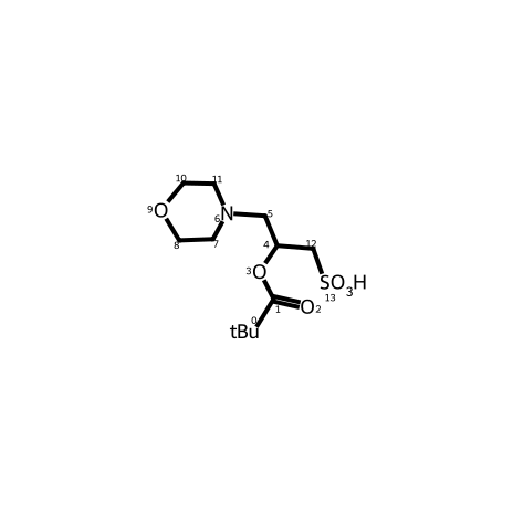 CC(C)(C)C(=O)OC(CN1CCOCC1)CS(=O)(=O)O